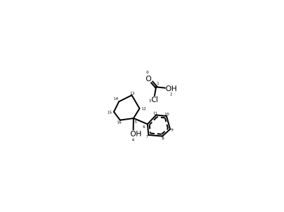 O=C(O)Cl.OC1(c2ccccc2)CCCCC1